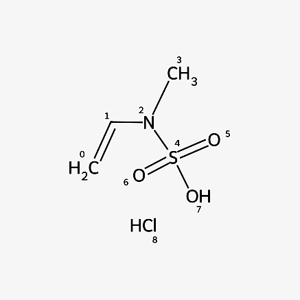 C=CN(C)S(=O)(=O)O.Cl